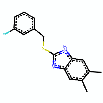 Cc1cc2nc(SCc3cccc(F)c3)[nH]c2cc1C